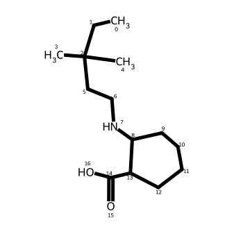 CCC(C)(C)CCNC1CCCCC1C(=O)O